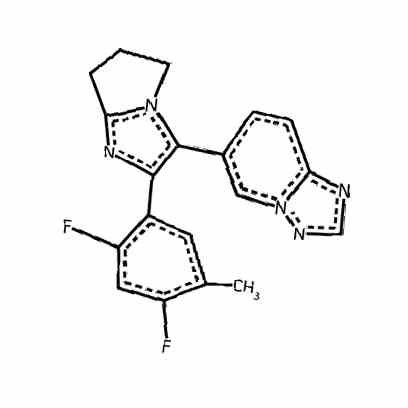 Cc1cc(-c2nc3n(c2-c2ccc4ncnn4c2)CCC3)c(F)cc1F